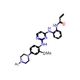 C=CC(=O)Nc1ccccc1Nc1ccnc(Nc2ccc(N3CCN(C(C)=O)CC3)cc2OC)n1